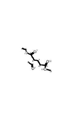 CC=O.CCOC(=O)CCCC(=O)OC